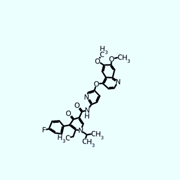 CCc1c(-c2ccc(F)cc2)c(=O)c(C(=O)Nc2ccc(Oc3ccnc4cc(OC)c(OC)cc34)cn2)cn1C(C)C